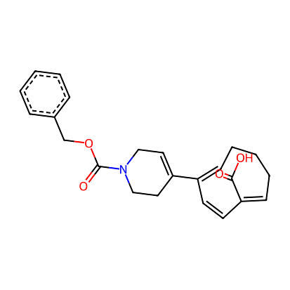 O=C(O)C1=C\CCC/C=C(C2=CCN(C(=O)OCc3ccccc3)CC2)/C=C\1